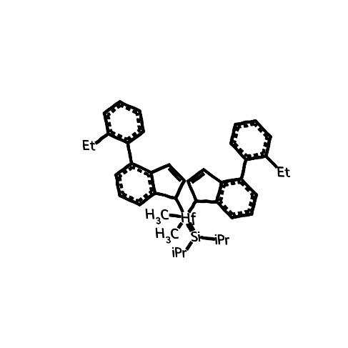 CCc1ccccc1-c1cccc2c1C=C[CH]2[Hf]([CH3])([CH3])([CH]1C=Cc2c(-c3ccccc3CC)cccc21)=[Si](C(C)C)C(C)C